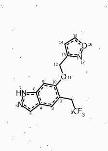 FC(F)(F)Cc1cc2cn[nH]c2cc1OCc1ccon1